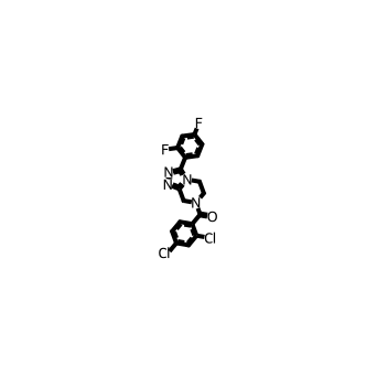 O=C(c1ccc(Cl)cc1Cl)N1CCn2c(nnc2-c2ccc(F)cc2F)C1